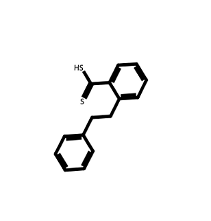 S=C(S)c1ccccc1CCc1ccccc1